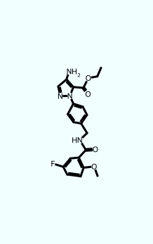 CCOC(=O)c1c(N)cnn1-c1ccc(CNC(=O)c2cc(F)ccc2OC)cc1